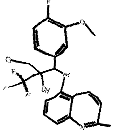 COc1cc(C(Nc2cccc3nc(C)ccc23)C(O)(CCl)C(F)(F)F)ccc1F